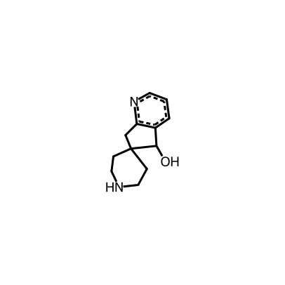 OC1c2cccnc2CC12CCNCC2